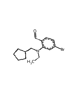 CCN(CC1CCCC1)c1cc(Br)ccc1C=O